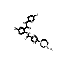 CN1CCCN(c2cnc(C(=O)Nc3ccc(Cl)cc3C(=O)Nc3ccc(Cl)cn3)cn2)CC1